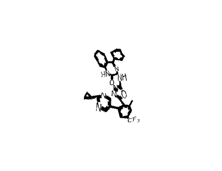 Cc1cc(C(F)(F)F)cc(-c2cnc(C3CC3)nc2)c1-c1nnc(N[C@H]2N=C(c3ccccc3)c3ccccc3NC2=O)o1